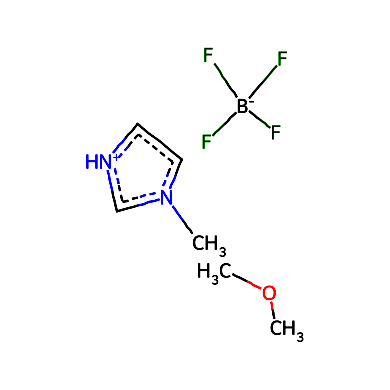 COC.Cn1cc[nH+]c1.F[B-](F)(F)F